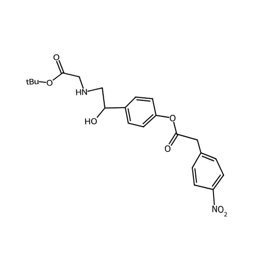 CC(C)(C)OC(=O)CNCC(O)c1ccc(OC(=O)Cc2ccc([N+](=O)[O-])cc2)cc1